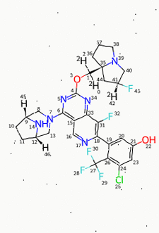 [2H]C([2H])(Oc1nc(N2C[C@H]3CC[C@@H](C2)N3)c2cnc(-c3cc(O)cc(Cl)c3C(F)(F)F)c(F)c2n1)[C@@]12CCCN1C[C@]([2H])(F)C2